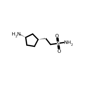 N[C@H]1CC[C@@H](CCS(N)(=O)=O)C1